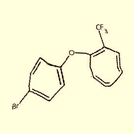 FC(F)(F)c1ccc[c]c1Oc1ccc(Br)cc1